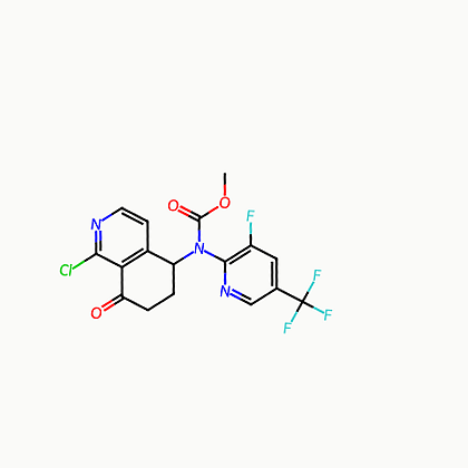 COC(=O)N(c1ncc(C(F)(F)F)cc1F)C1CCC(=O)c2c1ccnc2Cl